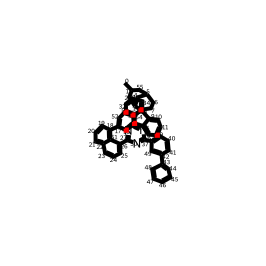 CC1C=C2CC(CCC23c2ccccc2-c2cc(-c4cccc5cccc(-c6nc(-c7ccccc7)nc(-c7cccc(-c8ccccc8)c7)n6)c45)ccc23)C1